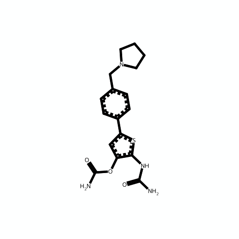 NC(=O)Nc1sc(-c2ccc(CN3CCCC3)cc2)cc1OC(N)=O